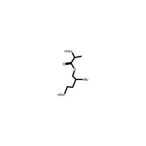 CCCCCCCCCCCCC(CCCC)COC(=O)C(C)CCCCCC